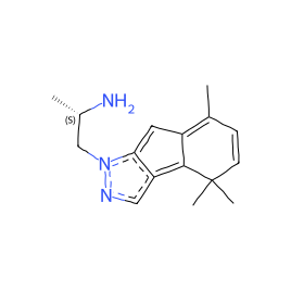 CC1=C2C=c3c(cnn3C[C@H](C)N)=C2C(C)(C)C=C1